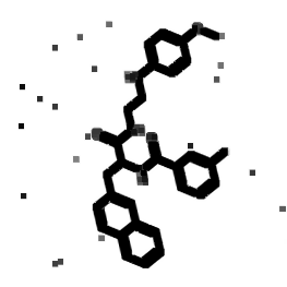 COc1ccc(NCCNC(=O)C(Cc2ccc3ccccc3c2)NC(=O)c2cccc(C)c2)cc1